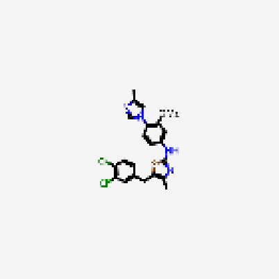 COc1cc(Nc2nc(C)c(Cc3ccc(Cl)c(Cl)c3)s2)ccc1-n1cnc(C)c1